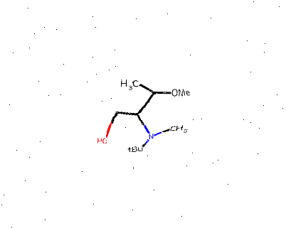 COC(C)C(CO)N(C)C(C)(C)C